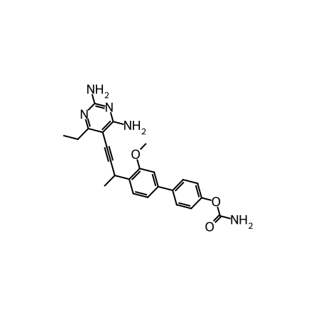 CCc1nc(N)nc(N)c1C#CC(C)c1ccc(-c2ccc(OC(N)=O)cc2)cc1OC